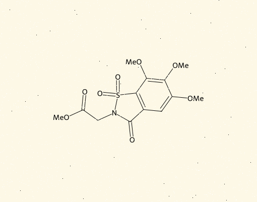 COC(=O)CN1C(=O)c2cc(OC)c(OC)c(OC)c2S1(=O)=O